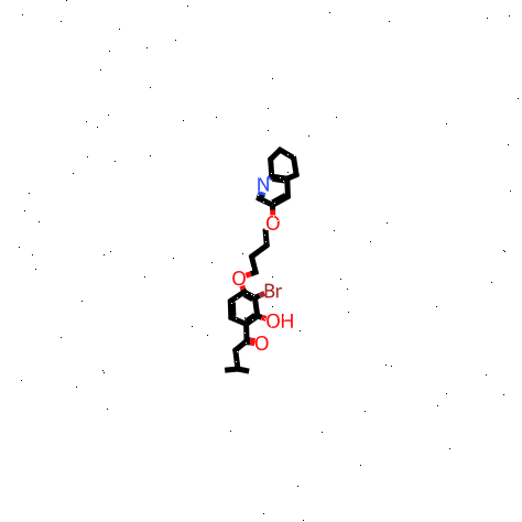 CC(C)CC(=O)c1ccc(OCCCCOc2cnc3c(c2)CCCC3)c(Br)c1O